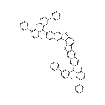 Cc1ccc(-c2ccccc2)cc1N(c1ccc2cc3c(cc2c1)oc1c3ccc2oc3cc4cc(N(c5cc(-c6ccccc6)ccc5C)c5cc(-c6ccccc6)ccc5C)ccc4cc3c21)c1cc(-c2ccccc2)ccc1C